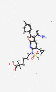 C=C(N)c1c(-c2ccc(C)cc2)oc2nc(N(CCCCC(C)(C)C(=O)O)S(C)(=O)=O)c(C3CC3)cc12